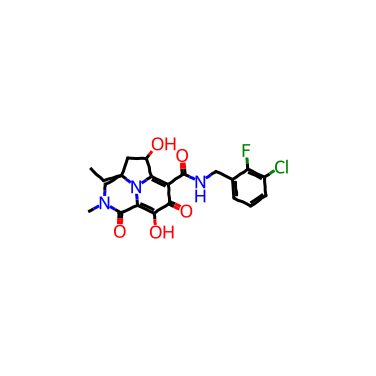 CCC12CC(O)c3c(C(=O)NCc4cccc(Cl)c4F)c(=O)c(O)c(n31)C(=O)N(C)C2